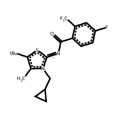 Cc1c(C(C)(C)C)s/c(=N\C(=O)c2ccc(F)cc2C(F)(F)F)n1CC1CC1